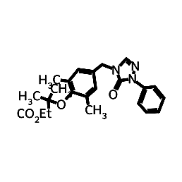 CCOC(=O)C(C)(C)Oc1c(C)cc(Cn2cnn(-c3ccccc3)c2=O)cc1C